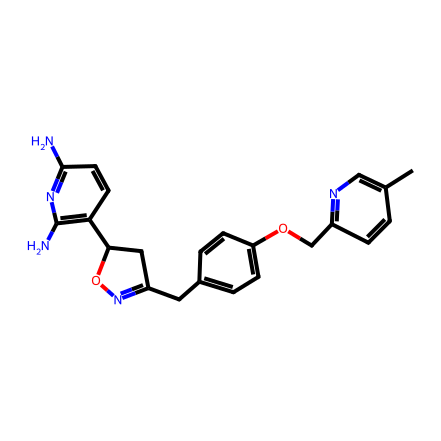 Cc1ccc(COc2ccc(CC3=NOC(c4ccc(N)nc4N)C3)cc2)nc1